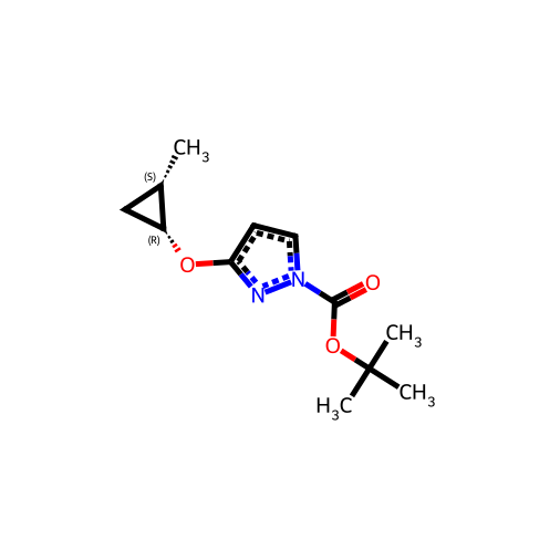 C[C@H]1C[C@H]1Oc1ccn(C(=O)OC(C)(C)C)n1